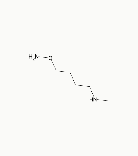 CNCCCCON